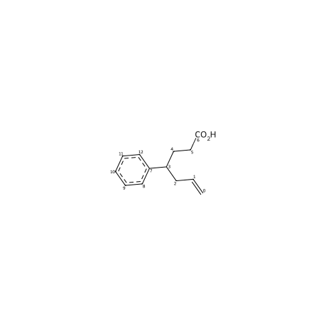 C=CCC(CCC(=O)O)c1ccccc1